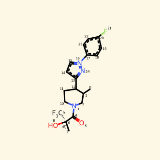 CC1CN(C(=O)[C@@](C)(O)C(F)(F)F)CCC1c1ccn(-c2ccc(F)cc2)n1